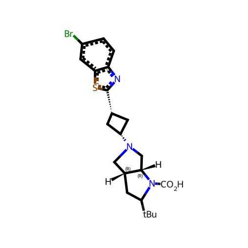 CC(C)(C)C1C[C@@H]2CN([C@H]3C[C@@H](c4nc5ccc(Br)cc5s4)C3)C[C@@H]2N1C(=O)O